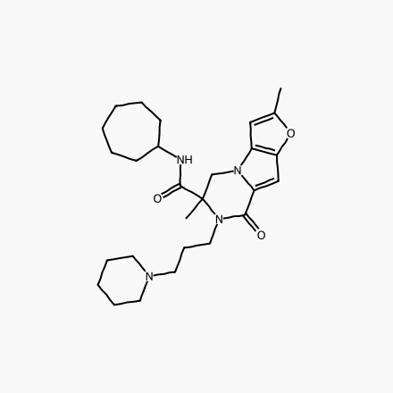 Cc1cc2c(cc3n2CC(C)(C(=O)NC2CCCCCC2)N(CCCN2CCCCC2)C3=O)o1